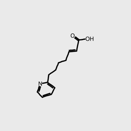 O=C(O)C=CCCCCc1ccccn1